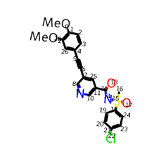 COc1ccc(C#Cc2cncc(C(=O)N=S(C)(=O)c3ccc(Cl)cc3)c2)cc1OC